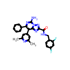 Cc1cc(-c2c(-c3ccccc3)nc(N)n3nc(C(=O)NCc4ccc(F)cc4F)nc23)cc(C)n1